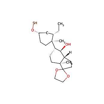 CC[C@H]1C[C@@H](OS)CC[C@]1(C)[C@H]1CC[C@@]2(C)[C@@H](CCC23OCCO3)[C@@H]1O